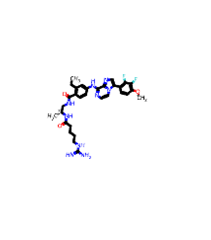 CCc1cc(Nc2nccn3c(-c4ccc(OC)c(F)c4F)cnc23)ccc1C(=O)NC[C@@H](C)NC(=O)CCCCNC(=N)N